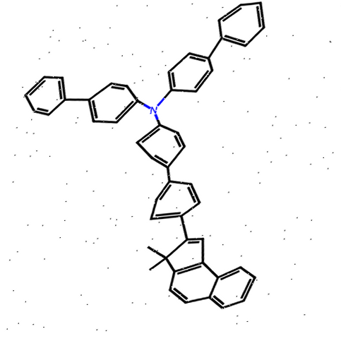 CC1(C)C(c2ccc(-c3ccc(N(c4ccc(-c5ccccc5)cc4)c4ccc(-c5ccccc5)cc4)cc3)cc2)=Cc2c1ccc1ccccc21